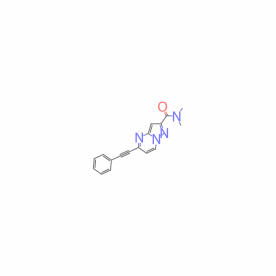 CN(C)C(=O)c1cc2nc(C#Cc3ccccc3)ccn2n1